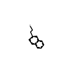 ICCc1ccc2ccccc2c1